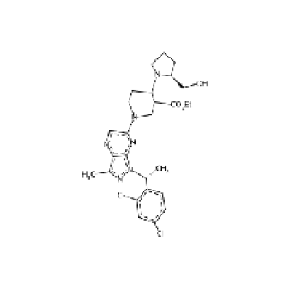 CCOC(=O)C1CN(c2cnc3c(C)nn([C@H](C)c4ccc(Cl)cc4Cl)c3n2)CCC1N1CCC[C@H]1CO